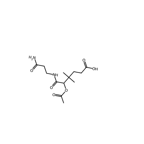 CC(=O)OC(C(=O)NCCC(N)=O)C(C)(C)CCC(=O)O